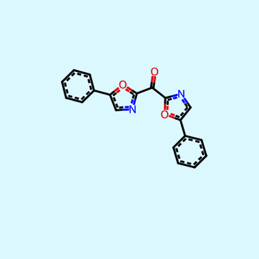 O=C(c1ncc(-c2ccccc2)o1)c1ncc(-c2ccccc2)o1